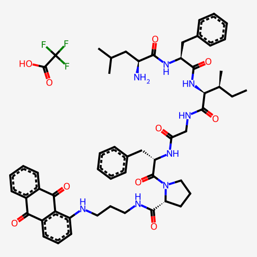 CC[C@H](C)[C@H](NC(=O)[C@H](Cc1ccccc1)NC(=O)[C@@H](N)CC(C)C)C(=O)NCC(=O)N[C@@H](Cc1ccccc1)C(=O)N1CCC[C@@H]1C(=O)NCCCNc1cccc2c1C(=O)c1ccccc1C2=O.O=C(O)C(F)(F)F